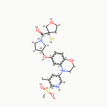 Cc1cc(N2CCOc3ccc(O[C@H]4CCN(C(=O)C5(S)CCOC5)C4)cc32)cnc1S(C)(=O)=O